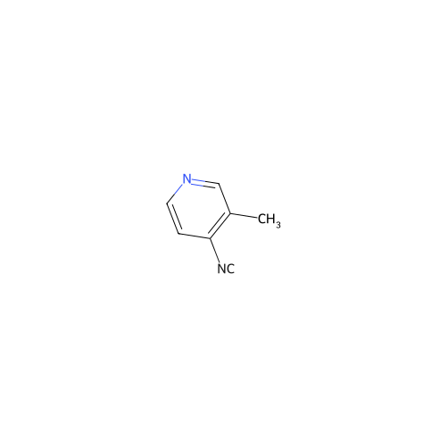 [C-]#[N+]c1ccncc1C